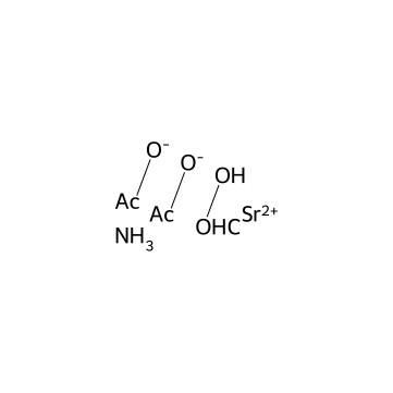 CC(=O)[O-].CC(=O)[O-].N.O=CO.[Sr+2]